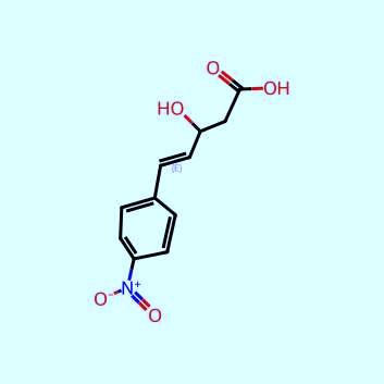 O=C(O)CC(O)/C=C/c1ccc([N+](=O)[O-])cc1